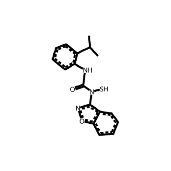 CC(C)c1ccccc1NC(=O)N(S)c1noc2ccccc12